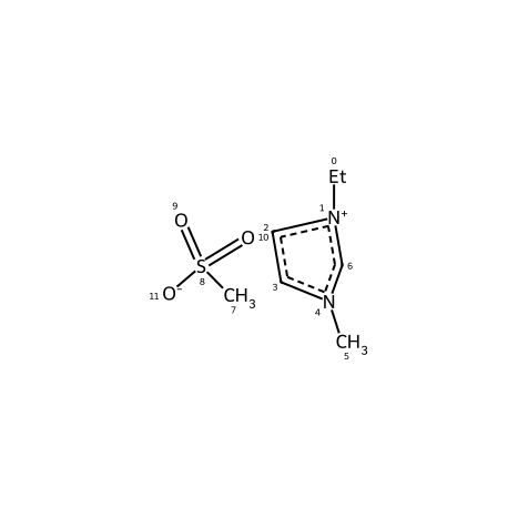 CC[n+]1ccn(C)c1.CS(=O)(=O)[O-]